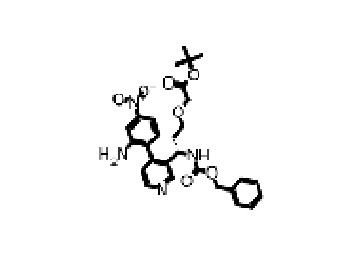 CC(C)(C)OC(=O)COCC[C@H](NC(=O)OCc1ccccc1)c1cnccc1-c1ccc([N+](=O)[O-])cc1N